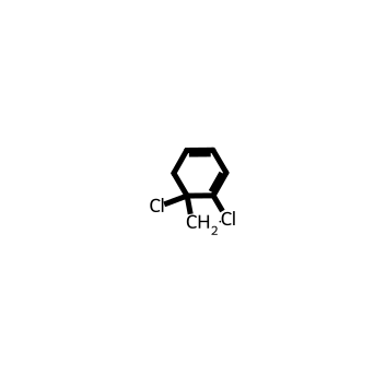 [CH2]C1(Cl)CC=CC=C1Cl